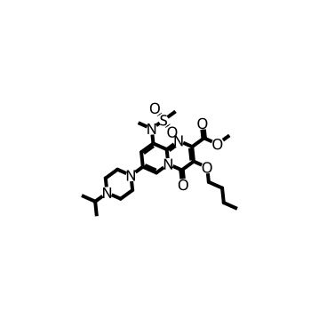 CCCCOc1c(C(=O)OC)nc2c(N(C)S(C)(=O)=O)cc(N3CCN(C(C)C)CC3)cn2c1=O